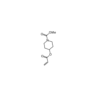 C=CC(=O)OC1CCN(C(=O)OC)CC1